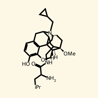 CO[C@]12CC[C@@]3(C[C@@H]1CNC(=O)C(N)CC(C)C)C1Cc4ccc(O)c5c4C3(CCN1CC1CC1)[C@H]2CO5